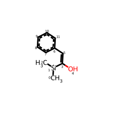 C[Si](C)C(O)=Cc1ccccc1